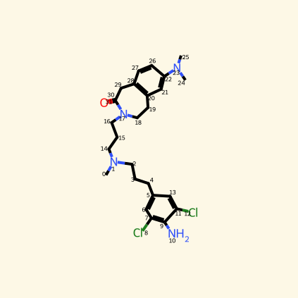 CN(CCCc1cc(Cl)c(N)c(Cl)c1)CCCN1CCc2cc(N(C)C)ccc2CC1=O